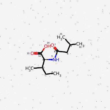 CCC(C)[C@H](NC(=O)CC(C)C)C(=O)O